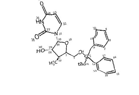 C[C@@H]1C(CO[Si](c2ccccc2)(c2ccccc2)C(C)(C)C)O[C@@H](n2ccc(=O)[nH]c2=O)[C@H]1O